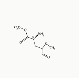 COC(=O)[C@@H](N)CC(C=O)SC